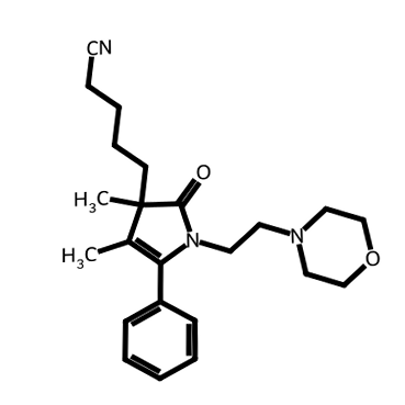 CC1=C(c2ccccc2)N(CCN2CCOCC2)C(=O)C1(C)CCCCC#N